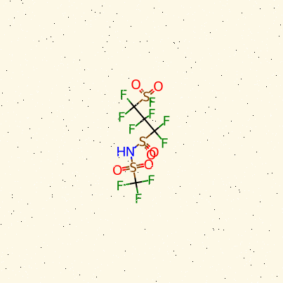 O=S(=O)(F)C(F)(F)C(F)(F)C(F)(F)S(=O)(=O)NS(=O)(=O)C(F)(F)F